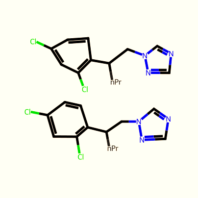 CCCC(Cn1cncn1)c1ccc(Cl)cc1Cl.CCCC(Cn1cncn1)c1ccc(Cl)cc1Cl